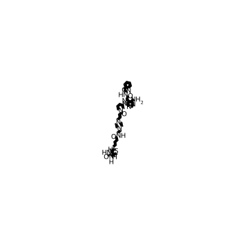 Nc1ncnc2c1c(C(=O)Nc1nc3ccccc3o1)nn2[C@@H]1CCCN(C(=O)C=CCN2CCN(CCNC(=O)CCCC[C@@H]3SC[C@@H]4NC(=O)N[C@@H]43)CC2)C1